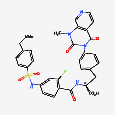 CNCc1ccc(S(=O)(=O)Nc2ccc(C(=O)N[C@@H](Cc3ccc(-n4c(=O)c5ccncc5n(C)c4=O)cc3)C(=O)O)c(F)c2)cc1